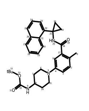 Cc1ccc(N2CCC(NC(=O)OC(C)(C)C)CC2)cc1C(=O)NC1(c2cccc3ccccc23)CC1